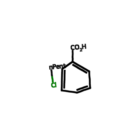 CCCCCCl.O=C(O)c1ccccc1